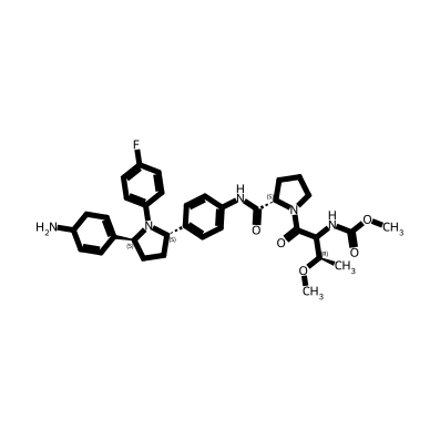 COC(=O)NC(C(=O)N1CCC[C@H]1C(=O)Nc1ccc([C@@H]2CC[C@@H](C3=CCC(N)C=C3)N2c2ccc(F)cc2)cc1)[C@@H](C)OC